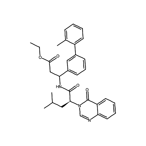 CCOC(=O)CC(NC(=O)[C@H](CC(C)C)n1cnc2ccccc2c1=O)c1cccc(-c2ccccc2C)c1